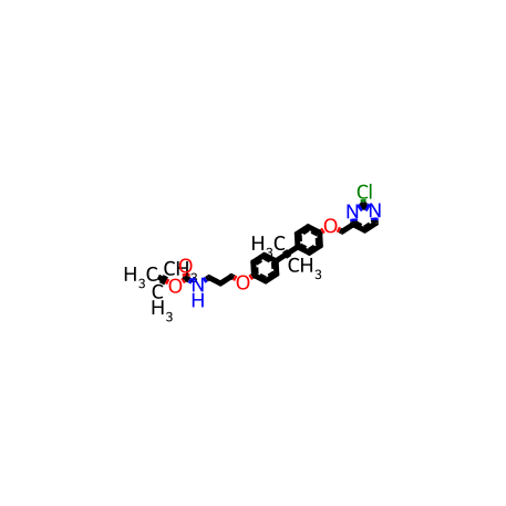 CC(C)(C)OC(=O)NCCCOc1ccc(C(C)(C)c2ccc(OCc3ccnc(Cl)n3)cc2)cc1